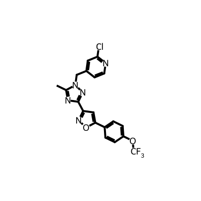 Cc1nc(-c2cc(-c3ccc(OC(F)(F)F)cc3)on2)nn1Cc1ccnc(Cl)c1